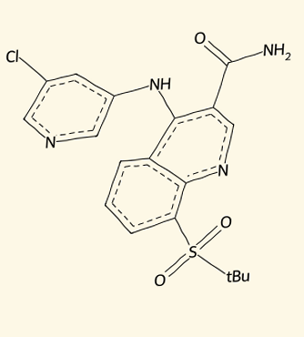 CC(C)(C)S(=O)(=O)c1cccc2c(Nc3cncc(Cl)c3)c(C(N)=O)cnc12